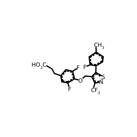 Cc1ccc(-c2snc(C(F)(F)F)c2COc2c(F)cc(CCC(=O)O)cc2F)c(F)c1